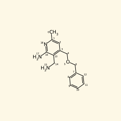 Cc1cc(COCc2ccccc2)c(CN)c(N)n1